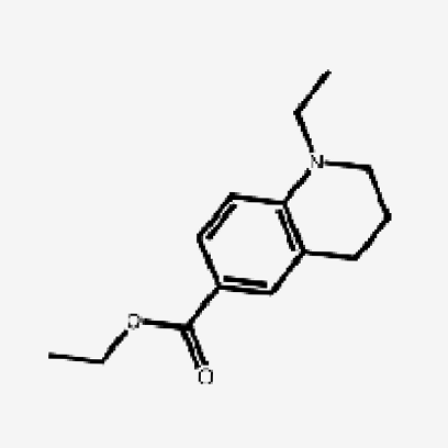 CCOC(=O)c1ccc2c(c1)CCCN2CC